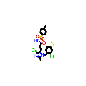 CSc1ccc(Cn2c(C)nc(Cl)c2C=CC(=O)NS(=O)(=O)c2ccc(C)cc2)c(Cl)c1